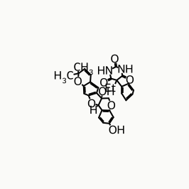 CC1(C)C=Cc2cc3c(cc2O1)O[C@H]1c2ccc(O)cc2OC[C@@]31O.CCC1(c2ccccc2)C(=O)NC(=O)NC1=O